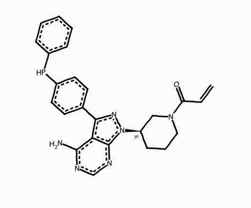 C=CC(=O)N1CCC[C@@H](n2nc(-c3ccc(Pc4ccccc4)cc3)c3c(N)ncnc32)C1